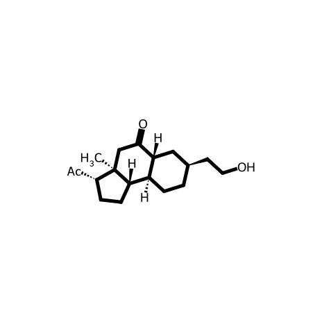 CC(=O)[C@H]1CC[C@H]2[C@@H]3CC[C@H](CCO)C[C@H]3C(=O)C[C@]12C